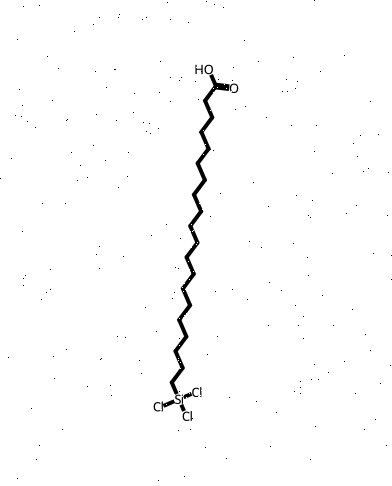 O=C(O)CCCCCCCCCCCCCCCCCCC[Si](Cl)(Cl)Cl